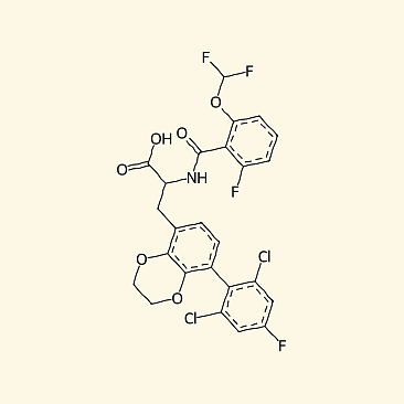 O=C(NC(Cc1ccc(-c2c(Cl)cc(F)cc2Cl)c2c1OCCO2)C(=O)O)c1c(F)cccc1OC(F)F